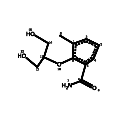 Cc1cccc(C(N)=O)c1OC(CO)CO